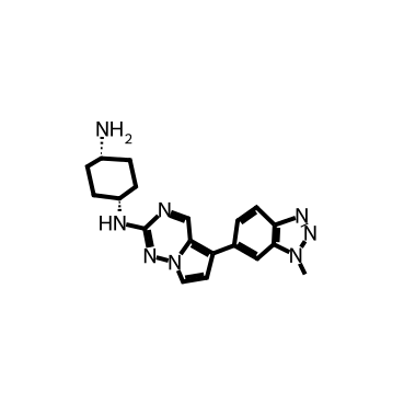 Cn1nnc2ccc(-c3ccn4nc(N[C@H]5CC[C@@H](N)CC5)ncc34)cc21